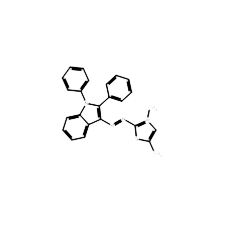 Cc1c[n+](C)c(/N=N/c2c(-c3ccccc3)n(-c3ccccc3)c3ccccc23)s1